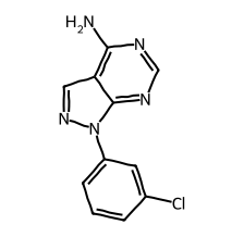 Nc1ncnc2c1cnn2-c1cccc(Cl)c1